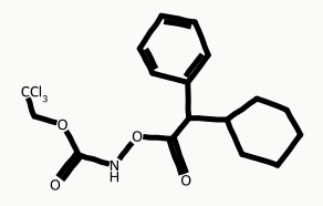 O=C(NOC(=O)C(c1ccccc1)C1CCCCC1)OCC(Cl)(Cl)Cl